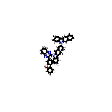 c1ccc2cc3c(cc2c1)c1ccccc1n3-c1ccc2cc3c4ccccc4n(-c4nc5ccccc5nc4-c4ccc5c(c4)oc4ccccc45)c3cc2c1